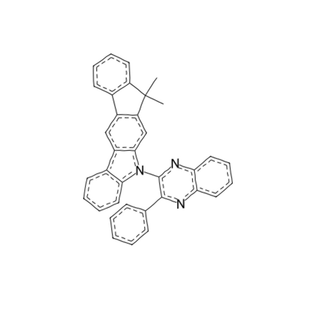 CC1(C)c2ccccc2-c2cc3c4ccccc4n(-c4nc5ccccc5nc4-c4ccccc4)c3cc21